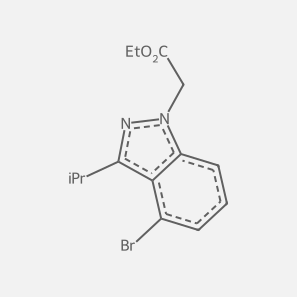 CCOC(=O)Cn1nc(C(C)C)c2c(Br)cccc21